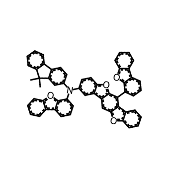 CC1(C)c2ccccc2-c2ccc(N(c3ccc4oc5c(-c6cccc7c6oc6ccccc67)c6c(cc5c4c3)oc3ccccc36)c3cccc4c3oc3ccccc34)cc21